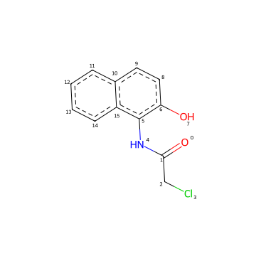 O=C(CCl)Nc1c(O)ccc2ccccc12